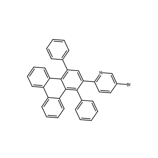 Brc1ccc(-c2cc(-c3ccccc3)c3c4ccccc4c4ccccc4c3c2-c2ccccc2)nc1